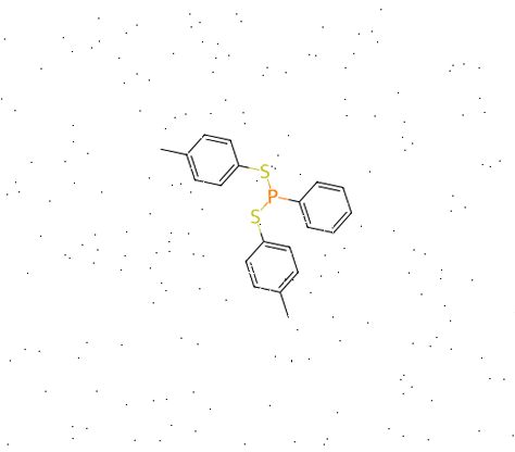 Cc1ccc(SP(Sc2ccc(C)cc2)c2ccccc2)cc1